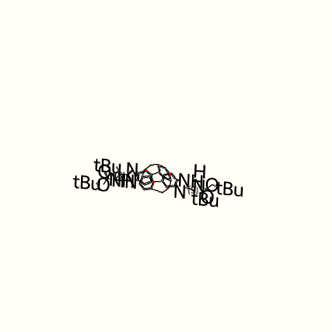 CC(C)(C)OC(=O)N[C@H](c1nc2cc(-c3cc4ccc3CCc3ccc(c(-c5ccc6[nH]c([C@@H](NC(=O)OC(C)(C)C)C(C)(C)C)nc6c5)c3)CC4)ccc2[nH]1)C(C)(C)C